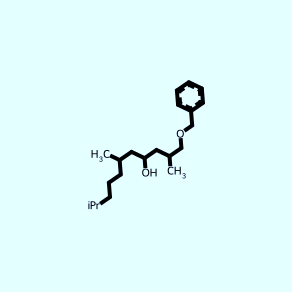 CC(C)CCCC(C)CC(O)CC(C)COCc1ccccc1